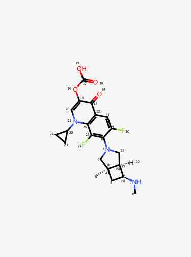 CN[C@H]1C[C@@]2(C)CN(c3c(F)cc4c(=O)c(OC(=O)O)cn(C5CC5)c4c3F)C[C@@H]12